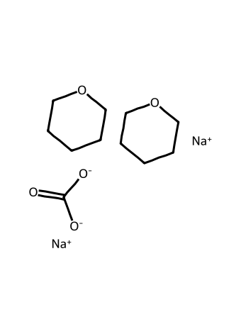 C1CCOCC1.C1CCOCC1.O=C([O-])[O-].[Na+].[Na+]